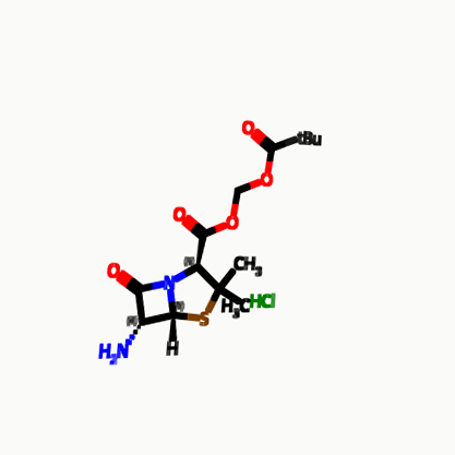 CC(C)(C)C(=O)OCOC(=O)[C@@H]1N2C(=O)[C@@H](N)[C@H]2SC1(C)C.Cl